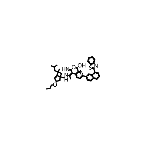 CCCOC1C=C2C(C)(CC(C)C)CC2(CN/C(C)=C(\C=N)c2ccc(-c3ccc4cccc(-c5nc6ccccc6s5)c4c3)nc2C(=O)O)C1